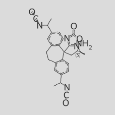 CC(N=C=O)c1ccc2c(c1)CCc1cc(C(C)N=C=O)ccc1C2(C[C@H](C)N)c1nc(=O)on1C